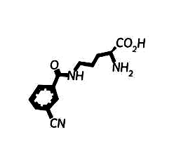 N#Cc1cccc(C(=O)NCCC[C@H](N)C(=O)O)c1